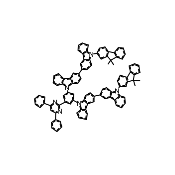 CC1(C)c2ccccc2-c2ccc(-n3c4ccccc4c4cc(-c5ccc6c(c5)c5ccccc5n6-c5cc(-c6nc(-c7ccccc7)cc(-c7ccccc7)n6)cc(-n6c7ccccc7c7cc(-c8ccc9c(c8)c8ccccc8n9-c8ccc9c(c8)C(C)(C)c8ccccc8-9)ccc76)c5)ccc43)cc21